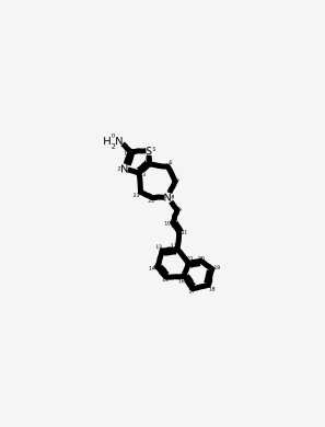 Nc1nc2c(s1)CCN(CC=Cc1cccc3ccccc13)CC2